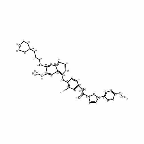 COc1ccc(N2C=CN(C(=O)Nc3ccc(Oc4ccnc5cc(OCCCN6CCOCC6)c(OC)cc45)c(F)c3)C2)cc1